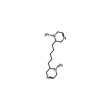 CC(C)N1CC=NCC1CCCCCC1CN=CCN1C(C)C